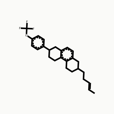 C/C=C/CCC1CCc2c(ccc3c2CCC(c2ccc(OC(F)(F)F)cc2)C3)C1